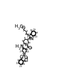 COCCCn1c(C2CCCN(C(=O)[C@@H]3CN(C(=O)Oc4ccccc4Cl)C[C@H]3N)C2)nc2ccccc21